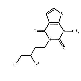 Cn1c(=O)n(CCC(S)CS)c(=O)c2ccsc21